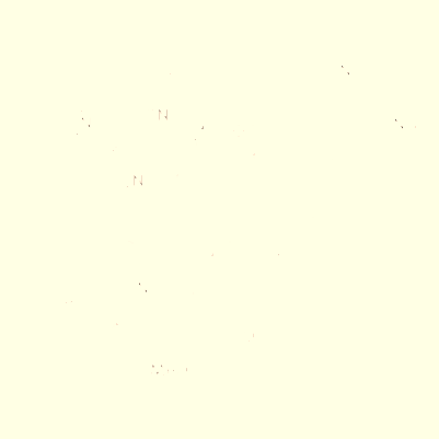 COC(=O)c1cc(C2(c3cccc(-c4cncnc4)c3)N=C(N)N(C)C2=O)cn1CCF